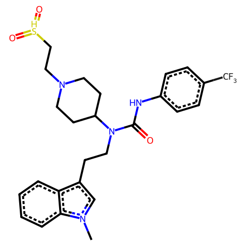 Cn1cc(CCN(C(=O)Nc2ccc(C(F)(F)F)cc2)C2CCN(CC[SH](=O)=O)CC2)c2ccccc21